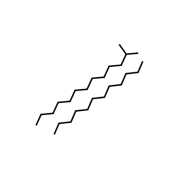 CCCCCCCCCCCC.CCCCCCCCCCCC(C)C